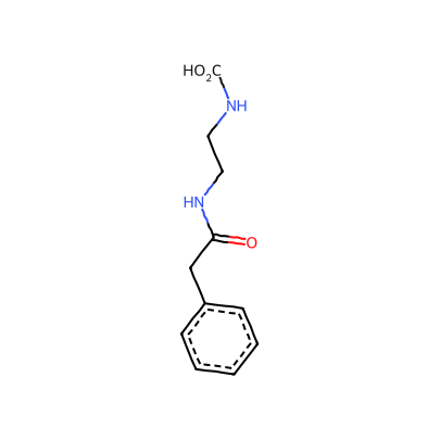 O=C(O)NCCNC(=O)Cc1ccccc1